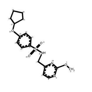 COc1nccc(CNS(=O)(=O)c2ccc(OC3CCCC3)cc2)n1